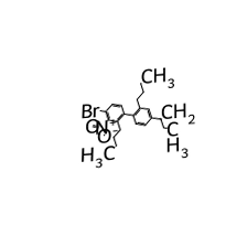 C=C(CC)c1ccc(-c2ccc(Br)c([N+](=O)[O-])c2CCCC)c(CCCC)c1